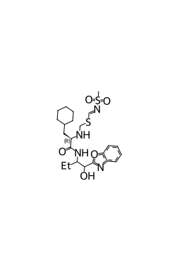 CCC(NC(=O)[C@@H](CC1CCCCC1)NCSC=NS(C)(=O)=O)C(O)c1nc2ccccc2o1